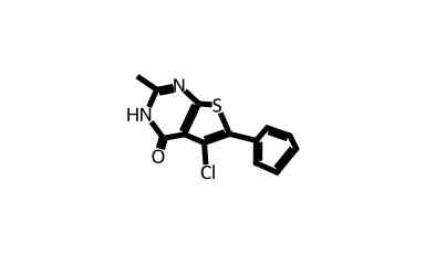 Cc1nc2sc(-c3ccccc3)c(Cl)c2c(=O)[nH]1